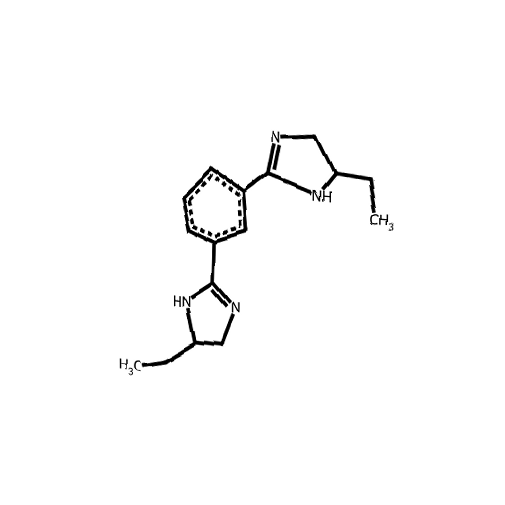 CCC1CN=C(c2cccc(C3=NCC(CC)N3)c2)N1